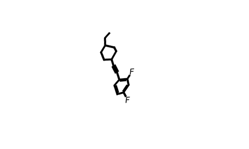 CCC1CCC(C#Cc2ccc(F)cc2F)CC1